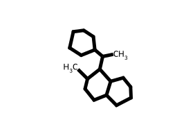 CC1CCC2CCCCC2C1C(C)C1CCCCC1